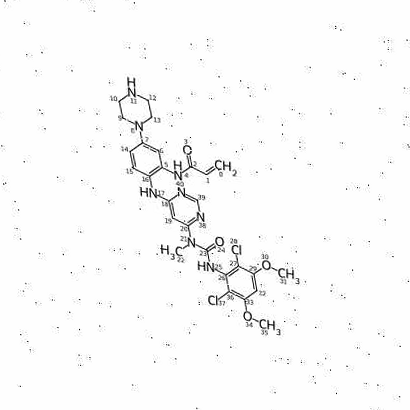 C=CC(=O)Nc1cc(N2CCNCC2)ccc1Nc1cc(N(C)C(=O)Nc2c(Cl)c(OC)cc(OC)c2Cl)ncn1